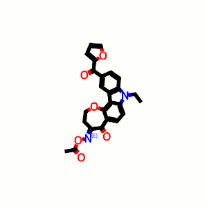 CCn1c2ccc(C(=O)c3ccco3)cc2c2c3c(ccc21)C(=O)/C(=N/OC(C)=O)CCO3